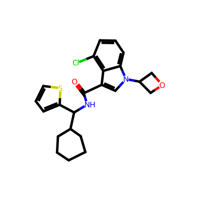 O=C(NC(c1cccs1)C1CCCCC1)c1cn(C2COC2)c2cccc(Cl)c12